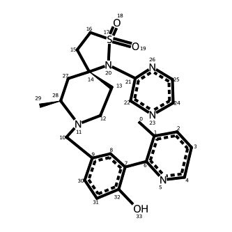 Cc1cccnc1-c1cc(CN2CC[C@]3(CCS(=O)(=O)N3c3cnccn3)C[C@@H]2C)ccc1O